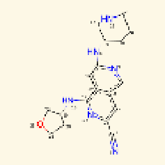 N#Cc1cc2cnc(N[C@H]3CCCNC3)cc2c(N[C@@H]2CCOC2)n1